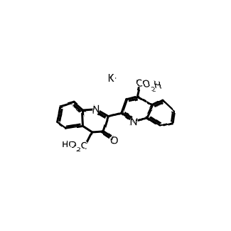 O=C(O)c1cc(C2=Nc3ccccc3C(C(=O)O)C2=O)nc2ccccc12.[K]